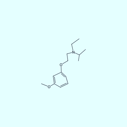 CCN(CCOc1cccc(OC)c1)C(C)C